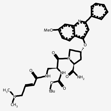 COc1ccc2c(O[C@@H]3C[C@@H](C(N)=O)N(C(=O)[C@H](CNC(=O)/C=C/CN(C)C)NC(=O)OC(C)(C)C)C3)cc(-c3ccccc3)nc2c1